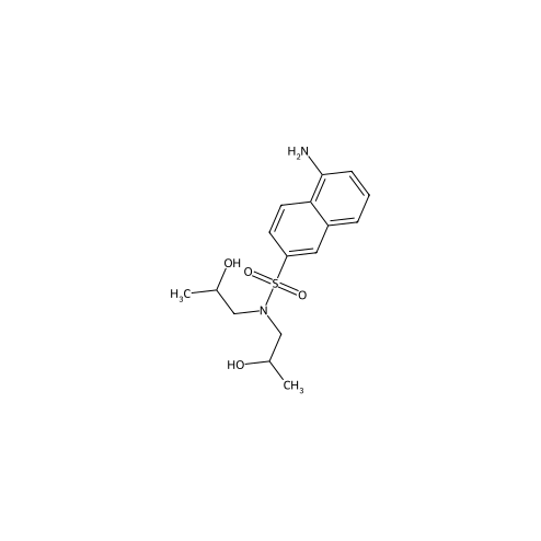 CC(O)CN(CC(C)O)S(=O)(=O)c1ccc2c(N)cccc2c1